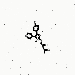 CC(=O)CC(=O)CSc1nc(-c2ccc(F)cc2)c(-c2ccncc2)n1C